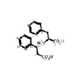 NC(Cc1ccccc1)C(=O)O.O=C(O)CCc1ccccc1